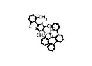 Cc1cccc(C)c1-c1cc(C)c(N2c3ccccc3N(c3c(-c4ccccc4)cccc3-c3ccccc3)[C@H]2C)c(C)n1